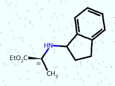 CCOC(=O)[C@H](C)NC1CCc2ccccc21